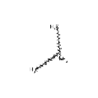 CCCCCCCCCCCCCCCCN(CCN)CCCCCCCCCCCCCCCC